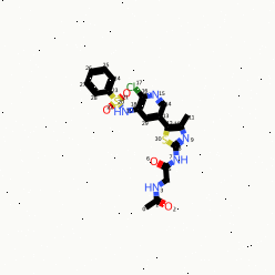 CC(=O)NCC(=O)Nc1nc(C)c(-c2cnc(Cl)c(NS(=O)(=O)c3ccccc3)c2)s1